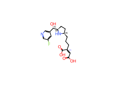 O=C(O)/C=C(/CCC[C@@H]1CC[C@H]([C@@H](O)c2cncc(F)c2)N1)C(=O)O